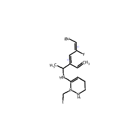 C=C/C(=C\C(F)=C/C(C)CC)C(C)NC1=CCCNN1CI